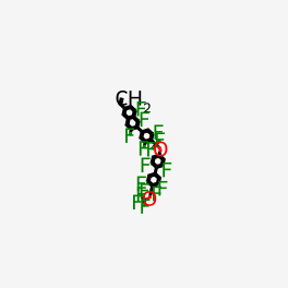 C=Cc1cc(F)c2c(F)c(-c3cc(F)c(C(F)(F)Oc4cc(F)c(-c5cc(F)c(C(F)(F)OC(F)(F)F)c(F)c5)c(F)c4)c(F)c3)c(F)cc2c1